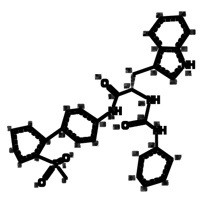 CS(=O)(=O)c1ccccc1-c1ccc(NC(=O)[C@H](Cc2c[nH]c3ccccc23)NC(=O)Nc2ccccc2)cc1